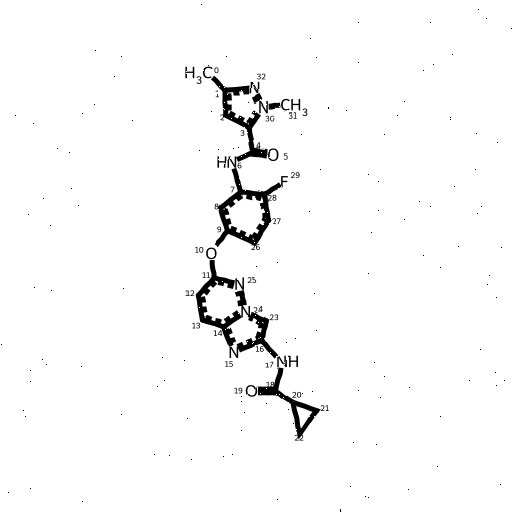 Cc1cc(C(=O)Nc2cc(Oc3ccc4nc(NC(=O)C5CC5)cn4n3)ccc2F)n(C)n1